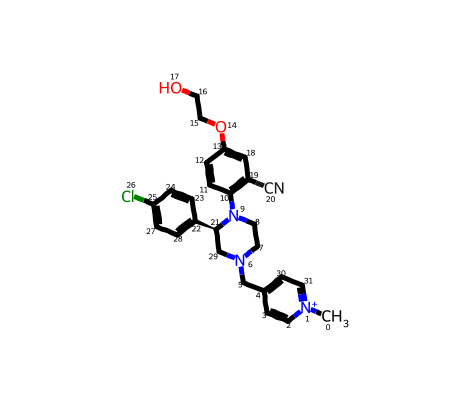 C[n+]1ccc(CN2CCN(c3ccc(OCCO)cc3C#N)[C@H](c3ccc(Cl)cc3)C2)cc1